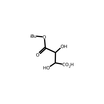 CCC(C)OC(=O)C(O)C(O)C(=O)O